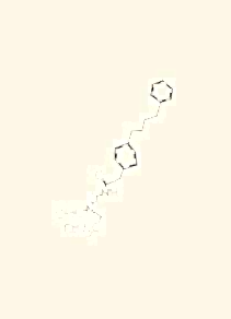 CCOC(=O)CN(C=O)ONC(=O)Cc1ccc(CCCCc2ccccc2)cc1